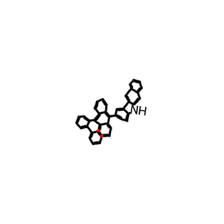 c1ccc(-c2ccccc2-c2c3ccccc3c(-c3ccc4[nH]c5cc6ccccc6cc5c4c3)c3ccccc23)cc1